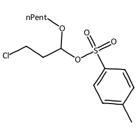 CCCCCOC(CCCl)OS(=O)(=O)c1ccc(C)cc1